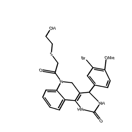 COc1ccc(C2NC(=O)NC3=C2CN(C(=O)CSCCO)c2ccccc23)cc1Br